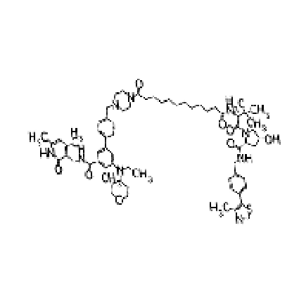 CCN(c1cc(-c2ccc(CN3CCN(C(=O)CCCCCCCCCCC(=O)N[C@H](C(=O)N4C[C@H](O)C[C@@H]4C(=O)NCc4ccc(-c5scnc5C)cc4)C(C)(C)C)CC3)cc2)cc(C(=O)NCc2c(C)cc(C)[nH]c2=O)c1C)C1CCOCC1